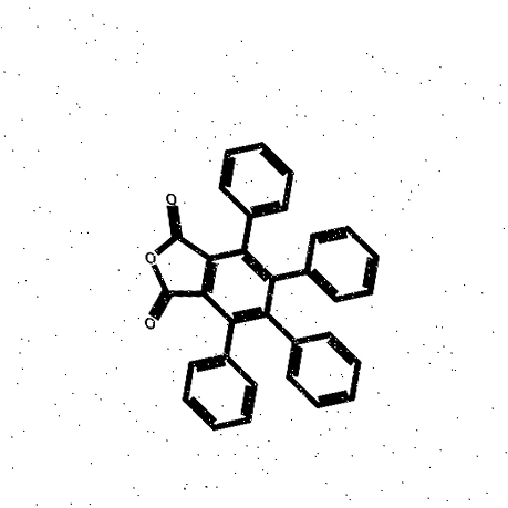 O=C1OC(=O)c2c1c(-c1ccccc1)c(-c1ccccc1)c(-c1ccccc1)c2-c1ccccc1